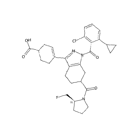 O=C(O)C1CC=C(c2nn(C(=O)c3c(Cl)cccc3C3CC3)c3c2CCC(C(=O)N2CCC[C@H]2CF)C3)CC1